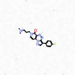 CN(C)CCCn1ccc2c(nnc3c(-c4ccc(F)cc4)cnn32)c1=O